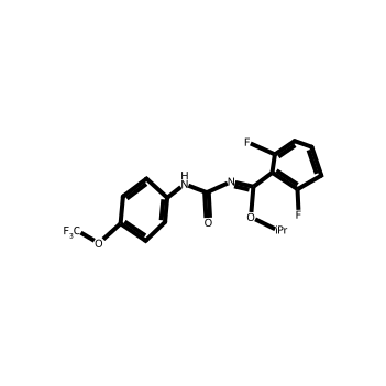 CC(C)OC(=NC(=O)Nc1ccc(OC(F)(F)F)cc1)c1c(F)cccc1F